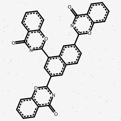 O=c1nc(-c2cc(-c3nc(=O)c4ccccc4o3)c3cc(-c4nc(=O)c5ccccc5o4)ccc3c2)oc2ccccc12